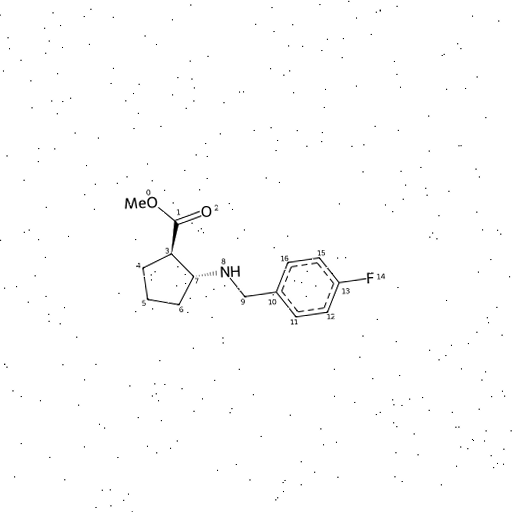 COC(=O)[C@@H]1CCC[C@H]1NCc1ccc(F)cc1